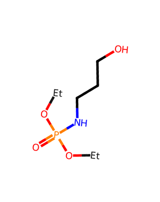 CCOP(=O)(NCCCO)OCC